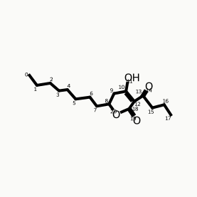 CCCCCCCCC1CC(O)=C(C(=O)CCC)C(=O)O1